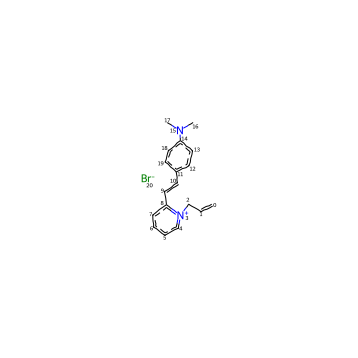 C=CC[n+]1ccccc1C=Cc1ccc(N(C)C)cc1.[Br-]